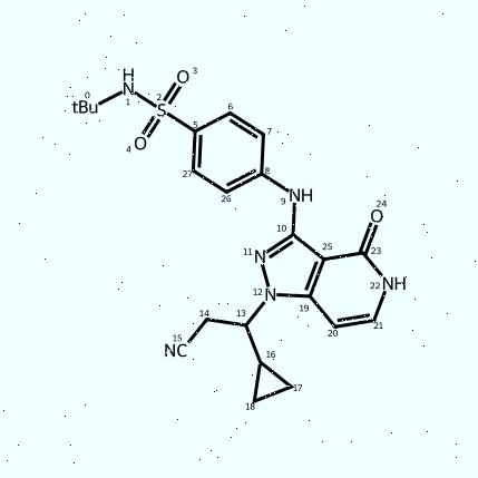 CC(C)(C)NS(=O)(=O)c1ccc(Nc2nn(C(CC#N)C3CC3)c3cc[nH]c(=O)c23)cc1